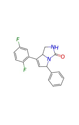 O=C1NCC2C(c3cc(F)ccc3F)=CC(c3ccccc3)N12